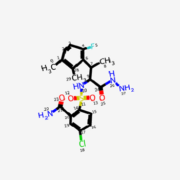 Cc1ccc(F)c(C(C)C(NS(=O)(=O)c2ccc(Cl)cc2C(N)=O)C(=O)NN)c1C